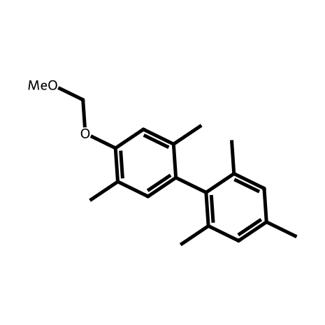 COCOc1cc(C)c(-c2c(C)cc(C)cc2C)cc1C